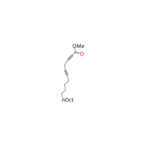 CCCCCCCCCCCCC#CCC#CC(=O)OC